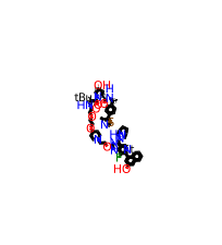 CCc1cccc2cc(O)cc(-c3ncc4c(N5CC6CCC(C5)N6)nc(OCCN5CCC(OCCOCC(=O)N[C@H](C(=O)N6C[C@H](O)C[C@H]6C(=O)N[C@@H](C)c6ccc(-c7scnc7C)cc6)C(C)(C)C)CC5)nc4c3F)c12